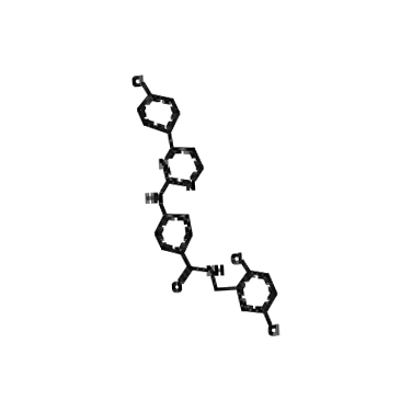 O=C(NCc1cc(Cl)ccc1Cl)c1ccc(Nc2nccc(-c3ccc(Cl)cc3)n2)cc1